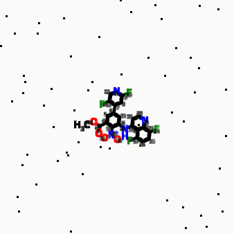 COC(=O)c1cc(-c2cc(F)ncc2F)cc(Nc2ccnc3c(F)ccc(F)c23)c1[N+](=O)[O-]